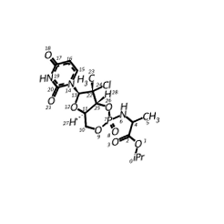 CC(C)OC(=O)C(C)NP1(=O)OC[C@H]2O[C@@H](n3ccc(=O)[nH]c3=O)[C@](C)(Cl)[C@@H]2O1